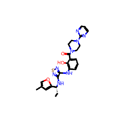 CC[C@@H](Nc1nsnc1Nc1cccc(C(=O)N2CCN(c3ncccn3)CC2)c1O)c1cc(C)co1